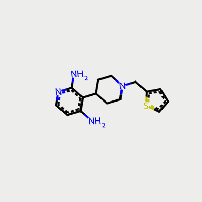 Nc1ccnc(N)c1C1CCN(Cc2cccs2)CC1